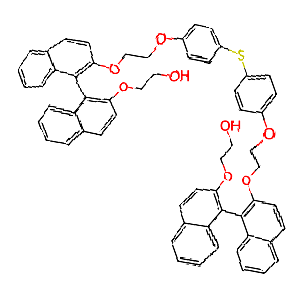 OCCOc1ccc2ccccc2c1-c1c(OCCOc2ccc(Sc3ccc(OCCOc4ccc5ccccc5c4-c4c(OCCO)ccc5ccccc45)cc3)cc2)ccc2ccccc12